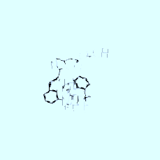 CCOC(=O)CC1CN=C(c2cc3cccc(N(C)S(=O)(=O)c4ccccc4C(F)(F)F)c3[nH]2)S1